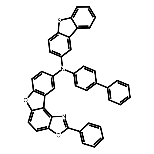 c1ccc(-c2ccc(N(c3ccc4sc5ccccc5c4c3)c3ccc4oc5ccc6oc(-c7ccccc7)nc6c5c4c3)cc2)cc1